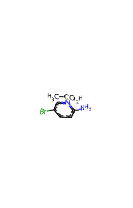 CC(=O)O.Nc1ccc(Br)cn1